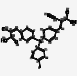 Cc1ccc(N(c2ccc(/C=C(/Cl)C(=O)O)cc2)c2ccc(/C=C(\C#N)C(=O)O)cc2)cc1